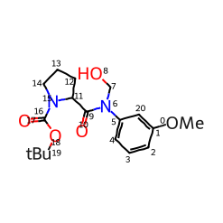 COc1cccc(N(CO)C(=O)C2CCCN2C(=O)OC(C)(C)C)c1